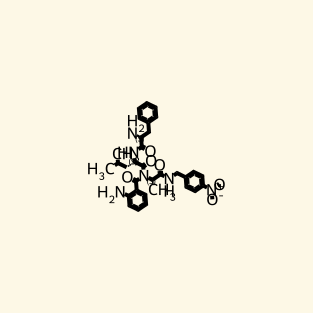 CC(C)C[C@H](NC(=O)[C@@H](N)Cc1ccccc1)C(=O)N(C(=O)c1ccccc1N)[C@@H](C)C(=O)NCc1ccc([N+](=O)[O-])cc1